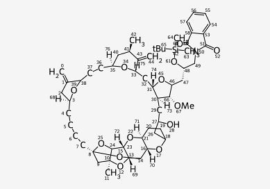 C=C1C[C@@H]2CCCC[C@@]34C[C@]5(C)O[C@H]6C(O3)[C@H]3OC(CC[C@@H]3O[C@H]6C5O4)CC(O)C[C@H]3[C@H](C[C@H]4O[C@@H](CCC1O2)C[C@@H](C)C4=C)OC(C[C@@H](CN1C(=O)c2ccccc2C1=O)O[Si](C)(C)C(C)(C)C)[C@@H]3OC